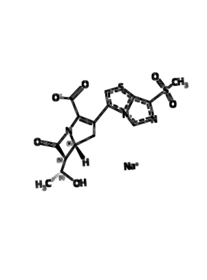 C[C@@H](O)[C@H]1C(=O)N2C(C(=O)[O-])=C(c3csc4c(S(C)(=O)=O)ncn34)C[C@H]12.[Na+]